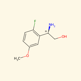 COc1ccc(F)c([C@@H](N)CO)c1